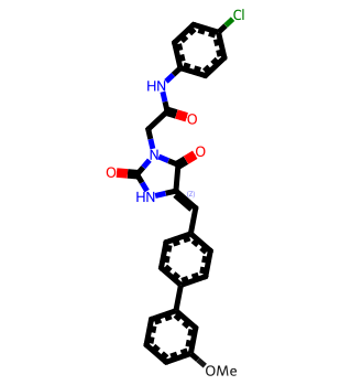 COc1cccc(-c2ccc(/C=C3\NC(=O)N(CC(=O)Nc4ccc(Cl)cc4)C3=O)cc2)c1